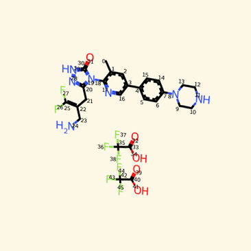 Cc1cc(-c2ccc(N3CCNCC3)cc2)cnc1-n1c(CC(CN)=C(F)F)n[nH]c1=O.O=C(O)C(F)(F)F.O=C(O)C(F)(F)F